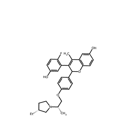 CC[C@@H]1CCN([C@@H](C)COc2ccc(C3Oc4ccc(O)cc4C(C)=C3c3cc(O)ccc3F)cc2)C1